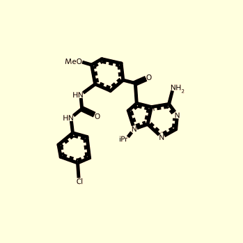 COc1ccc(C(=O)c2cn(C(C)C)c3ncnc(N)c23)cc1NC(=O)Nc1ccc(Cl)cc1